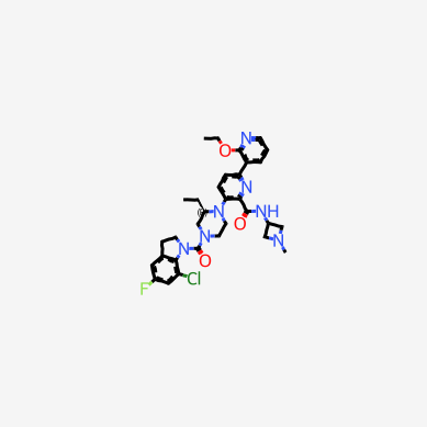 CCOc1ncccc1-c1ccc(N2CCN(C(=O)N3CCc4cc(F)cc(Cl)c43)C[C@H]2CC)c(C(=O)NC2CN(C)C2)n1